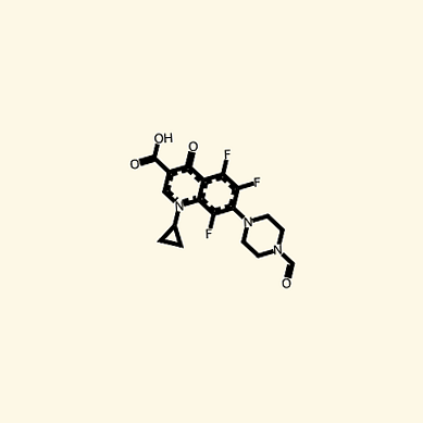 O=CN1CCN(c2c(F)c(F)c3c(=O)c(C(=O)O)cn(C4CC4)c3c2F)CC1